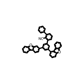 N#Cc1c(-c2ccccc2)cccc1-c1cc(-c2ccc3c(c2)oc2ccccc23)cc(-c2cccc3oc4ccccc4c23)c1